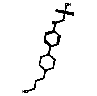 O=S(=O)(O)[CH]Nc1ccc(N2CCN(CCCO)CC2)cc1